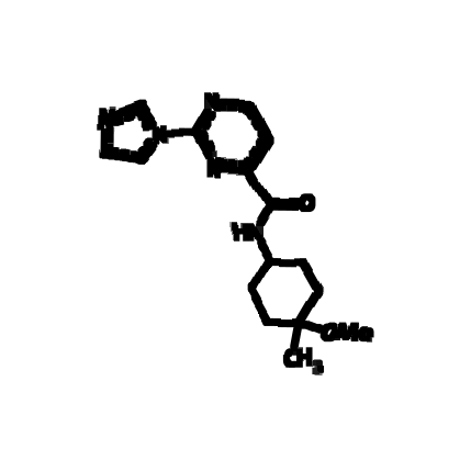 COC1(C)CCC(NC(=O)c2ccnc(-n3ccnc3)n2)CC1